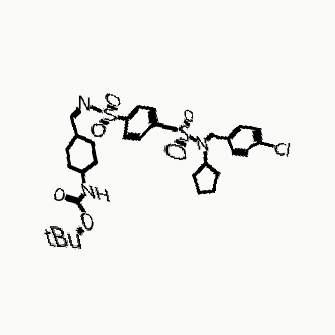 CC(C)(C)OC(=O)NC1CCC(/C=N\S(=O)(=O)c2ccc(S(=O)(=O)N(Cc3ccc(Cl)cc3)C3CCCC3)cc2)CC1